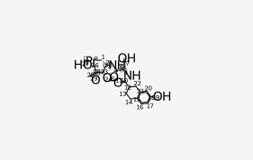 CC(C)C[C@H](NC(=O)[C@H](CO)NC(=O)C1CCc2ccc(O)cc2C1)C(=O)[C@@]1(CO)CO1